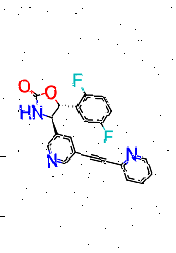 O=C1N[C@H](c2cncc(C#Cc3ccccn3)c2)[C@@H](c2cc(F)ccc2F)O1